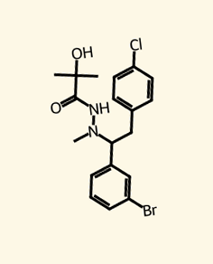 CN(NC(=O)C(C)(C)O)C(Cc1ccc(Cl)cc1)c1cccc(Br)c1